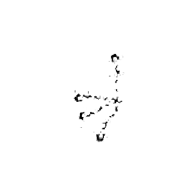 CC(OCCOCCNC(=O)CCN1C(=O)C=CC1=O)C(COCCOCCNC(=O)CCN1C(=O)C=CC1=O)(COCCOCCNC(=O)CCN1C(=O)C=CC1=O)COCCOCCNC(=O)CCN1C(=O)C=CC1=O